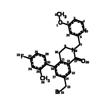 COc1ccnc(CN2CCc3c(cc(CBr)cc3-c3ccc(F)cc3C)C2=O)c1